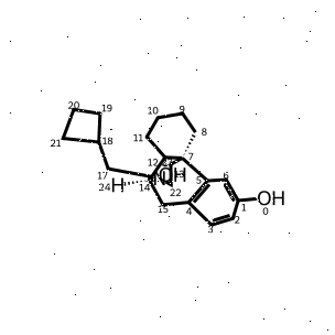 Oc1ccc2c(c1)[C@]13CCCC[C@]1(O)[C@H](C2)N(CC1CCC1)CC3